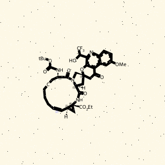 CCOC(=O)[C@@]12C[C@H]1/C=C\CCCCC[C@H](NC(=O)OC(C)(C)C)C(=O)N1C[C@@]3(CC(=O)c4c(c(C(O)C(F)(F)F)nc5ccc(OC)cc45)O3)C[C@H]1C(=O)N2